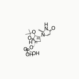 C=C1NC(=O)C=CN1[C@@H]1C[C@H](COP(=O)(O)O)[C@H]2OC(C)(C)OC12